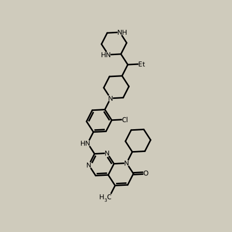 CCC(C1CCN(c2ccc(Nc3ncc4c(C)cc(=O)n(C5CCCCC5)c4n3)cc2Cl)CC1)C1CNCCN1